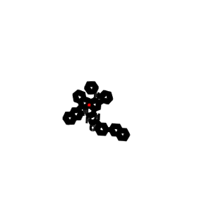 c1ccc(-n2c3ccccc3c3cc(-c4nc5c(nc4-n4c6cc7ccccc7cc6c6c7ccccc7ccc64)oc4ccc(-c6ccc7ccccc7c6)cc45)ccc32)cc1